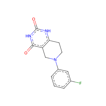 O=c1[nH]c2c(c(=O)[nH]1)CN(c1cccc(F)c1)CC2